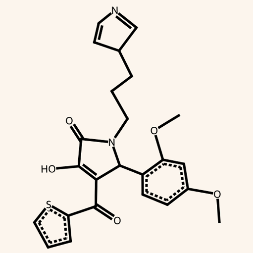 COc1ccc(C2C(C(=O)c3cccs3)=C(O)C(=O)N2CCCC2C=CN=C2)c(OC)c1